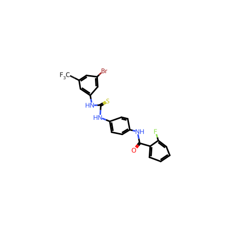 O=C(Nc1ccc(NC(=S)Nc2cc(Br)cc(C(F)(F)F)c2)cc1)c1ccccc1F